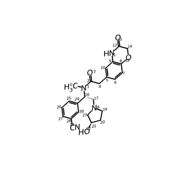 CN(C(=O)Cc1ccc2c(c1)NC(=O)CO2)[C@H](CN1CC[C@@H](O)C1)c1cccc(C#N)c1